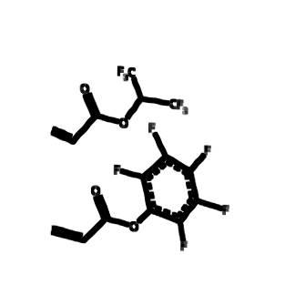 C=CC(=O)OC(C(F)(F)F)C(F)(F)F.C=CC(=O)Oc1c(F)c(F)c(F)c(F)c1F